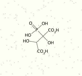 O=C(O)C(O)C(O)(C(=O)O)P(=O)(O)O